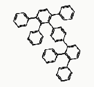 c1ccc(-c2cccc(-c3ccc(-c4c(-c5ccccc5)ccc(-c5ccccc5)c4-c4ccccc4)cc3)c2-c2ccccc2)cc1